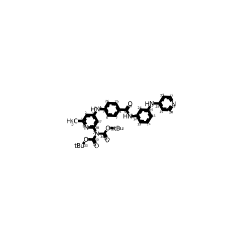 Cc1cc(Nc2ccc(C(=O)Nc3cccc(Nc4ccncc4)c3)cc2)cc(N(C(=O)OC(C)(C)C)C(=O)OC(C)(C)C)n1